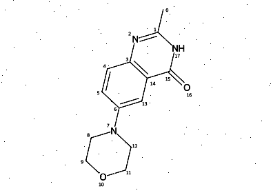 Cc1nc2ccc(N3CCOCC3)cc2c(=O)[nH]1